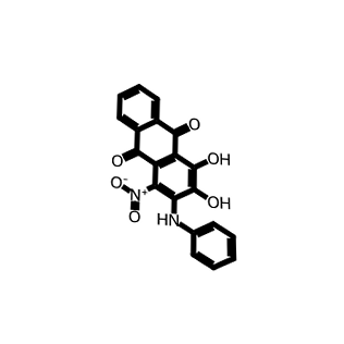 O=C1c2ccccc2C(=O)c2c1c(O)c(O)c(Nc1ccccc1)c2[N+](=O)[O-]